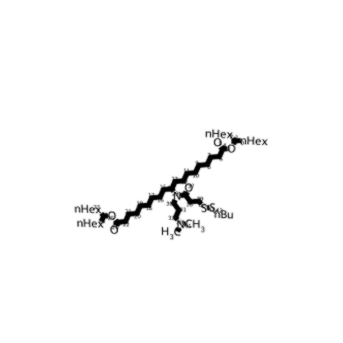 CCCCCCC(CCCCCC)OC(=O)CCCCCCCCC(CCCCCCCCC(=O)OC(CCCCCC)CCCCCC)N(CCCN(C)C)C(=O)CCSSCCCC